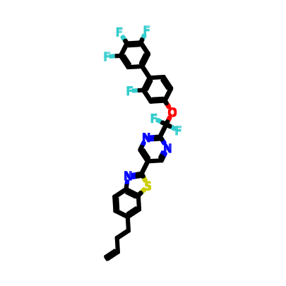 C=CCCc1ccc2nc(-c3cnc(C(F)(F)Oc4ccc(-c5cc(F)c(F)c(F)c5)c(F)c4)nc3)sc2c1